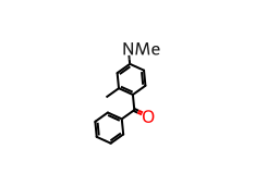 CNc1ccc(C(=O)c2ccccc2)c(C)c1